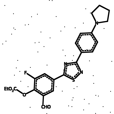 CCOC(=O)Oc1c(F)cc(-c2nc(-c3ccc(N4CCCC4)cc3)ns2)cc1C=O